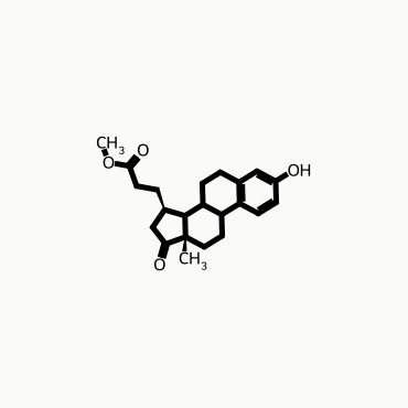 COC(=O)CC[C@@H]1CC(=O)[C@@]2(C)CCC3c4ccc(O)cc4CCC3C12